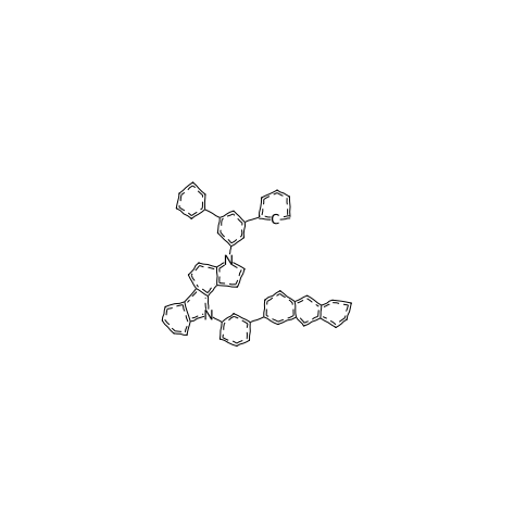 c1ccc(-c2cc(-c3ccccc3)cc(-n3ccc4c3ccc3c5ccccc5n(-c5cccc(-c6ccc7cc8ccccc8cc7c6)c5)c34)c2)cc1